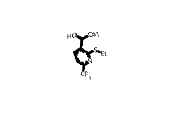 CCSc1nc(C(F)(F)F)ccc1C(O)O